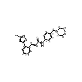 Cn1cc(-c2ccncc2C=CC(=O)Nc2ccc(CN3CCOCC3)cc2)nn1